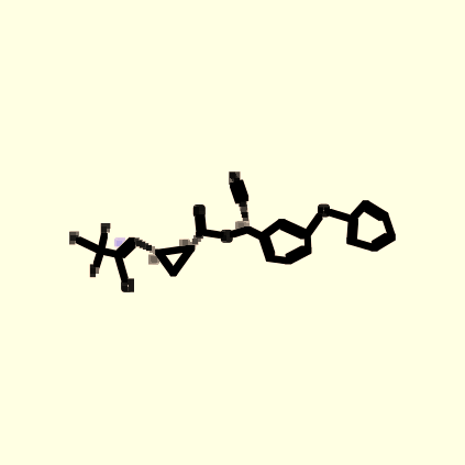 N#C[C@@H](OC(=O)[C@@H]1C[C@@H]1/C=C(\Cl)C(F)(F)F)c1cccc(Oc2ccccc2)c1